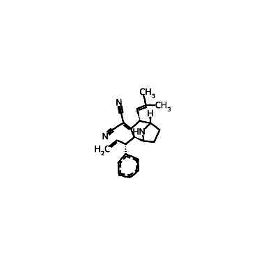 C=C[C@@H](c1ccccc1)[C@H]1C(=C(C#N)C#N)[C@@H](C=C(C)C)[C@@H]2CCC1N2